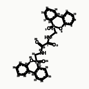 O=C(NCP1(=O)Oc2ccccc2-c2ccccc21)C(=O)NCP1(=O)Oc2ccccc2-c2ccccc21